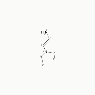 CCN(/C=C/N)CC